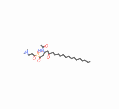 CCCCCCCCCCCCCCCC(=O)CC(CC(=O)P(O)C(=O)CCN(C)C)NC(C)=O